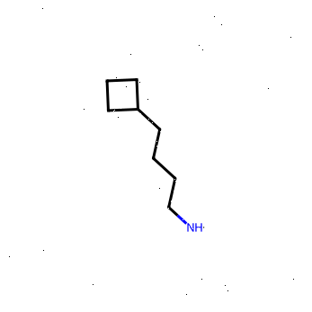 [NH]CCCCC1CCC1